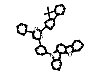 CC1(C)c2ccccc2-c2ccc(-c3nc(-c4ccccc4)cc(-c4cccc(-n5c6ccccc6c6c7oc8ccccc8c7ccc65)c4)n3)cc21